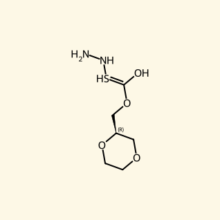 NN[SH]=C(O)OC[C@H]1COCCO1